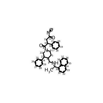 C[C@@H](NCC1CCN(C(=O)C(CC(=O)N=O)c2ccccc2)CC1c1ccccc1)c1cccc2ccccc12